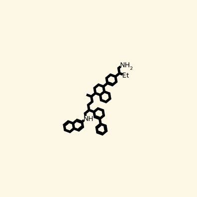 CCC(CN)C1CC=C(C2CCC(C(C)CCC(CNC3=CC4C=CCCC4C=C3)C3C=C(c4ccccc4)CCC3)C3CCCCC23)CC1